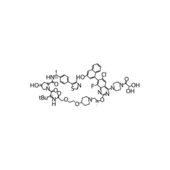 Cc1ncsc1-c1ccc([C@H](C)NC(=O)[C@@H]2C[C@@H](O)CN2C(=O)[C@@H](NC(=O)COCCOC2CCN(C[C@@H](C)Oc3nc(N4CCN(C(=O)C(O)O)CC4)c4cc(Cl)c(-c5cc(O)cc6ccccc56)c(F)c4n3)CC2)C(C)(C)C)cc1